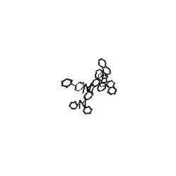 C1=CC(n2c3cc(N(c4ccccc4)c4ccccc4)ccc3c3c4c5c(cc32)Oc2c(ccc3ccccc23)B5c2ccc3ccccc3c2O4)CC=C1c1ccccc1